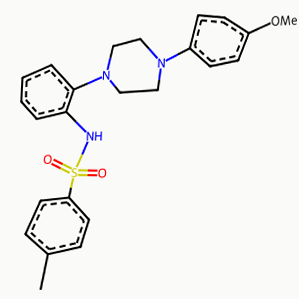 COc1ccc(N2CCN(c3ccccc3NS(=O)(=O)c3ccc(C)cc3)CC2)cc1